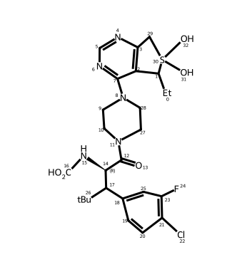 CCC1c2c(ncnc2N2CCN(C(=O)[C@H](NC(=O)O)C(c3ccc(Cl)c(F)c3)C(C)(C)C)CC2)CS1(O)O